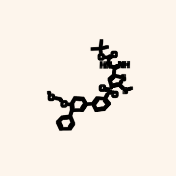 COCOc1ccc(-c2cccc(S(=O)(=O)c3cc(C(=N)NC(=O)OC(C)(C)C)sc3SC)c2)cc1-c1ccccc1